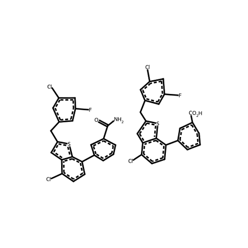 NC(=O)c1cccc(-c2ccc(Cl)c3cc(Cc4cc(F)cc(Cl)c4)sc23)c1.O=C(O)c1cccc(-c2ccc(Cl)c3cc(Cc4cc(F)cc(Cl)c4)sc23)c1